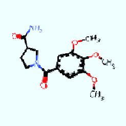 COc1cc(C(=O)N2CCC(C(N)=O)C2)cc(OC)c1OC